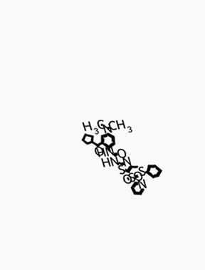 CN(C)c1ccc(NC(=O)Nc2nc(CSc3ccccc3)c(S(=O)(=O)c3ccccn3)s2)c(C(=O)C2CCCC2)c1